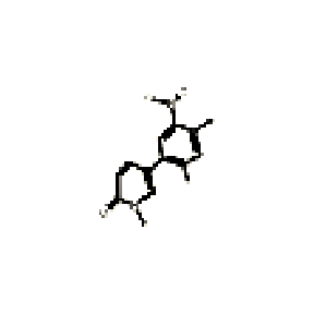 Cc1cc(F)c(-c2ccc(=O)n(C)c2)cc1[N+](=O)[O-]